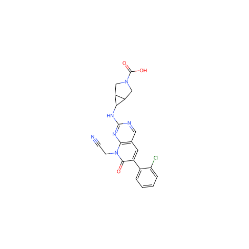 N#CCn1c(=O)c(-c2ccccc2Cl)cc2cnc(NC3C4CN(C(=O)O)CC43)nc21